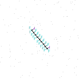 FC(F)(I)C(F)(F)C(F)(F)C(F)(F)C(F)(F)C(F)(F)C(F)(F)C(F)(F)C(F)(F)I